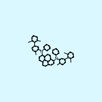 Cc1ccc(-c2c(C)cccc2C)cc1N(c1ccccc1)c1ccc2ccc3ccc(N(c4ccccc4)c4cc(-c5c(C)cccc5C)ccc4C)c4ccc1c2c34